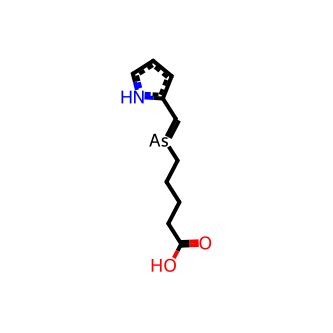 O=C(O)CCCC/[As]=C/c1ccc[nH]1